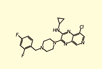 Fc1ccc(CN2CCN(c3nc4cncc(Cl)c4nc3NC3CC3)CC2)c(F)c1